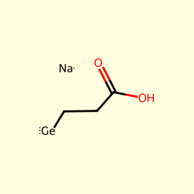 O=C(O)C[CH2][Ge].[Na]